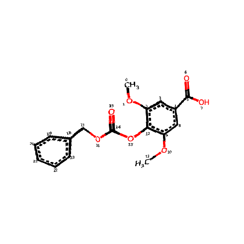 COc1cc(C(=O)O)cc(OC)c1OC(=O)OCc1ccccc1